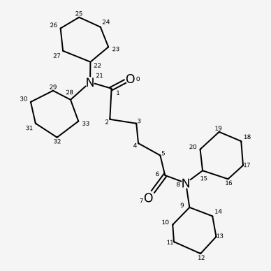 O=C(CCCCC(=O)N(C1CCCCC1)C1CCCCC1)N(C1CCCCC1)C1CCCCC1